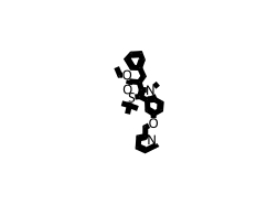 CCOC(=O)C(Cc1ccccc1)c1c(SC(C)(C)C)c2cc(OCc3ccccn3)ccc2n1C